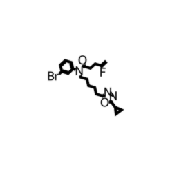 C=C(F)CCC(=O)N(CCCCCc1nnc(C2CC2)o1)c1cccc(Br)c1